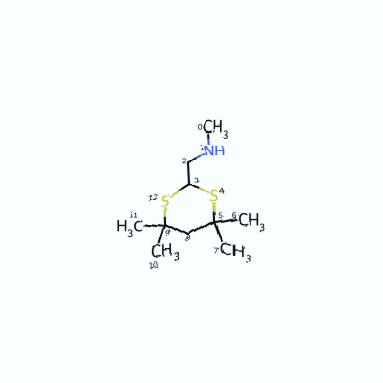 CNCC1SC(C)(C)CC(C)(C)S1